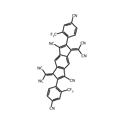 N#CC(C#N)=C1C(c2ccc(C#N)cc2C(F)(F)F)=C(C#N)c2cc3c(cc21)C(C#N)=C(c1ccc(C#N)cc1C(F)(F)F)C3=C(C#N)C#N